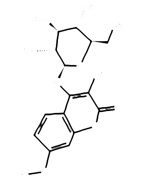 CCOc1ccc2c(O[C@@H]3O[C@H](COC(C)=O)[C@@H](OC(C)=O)[C@H](OC(C)=O)[C@H]3OC(C)=O)c(OC(C)=O)c(=O)oc2c1